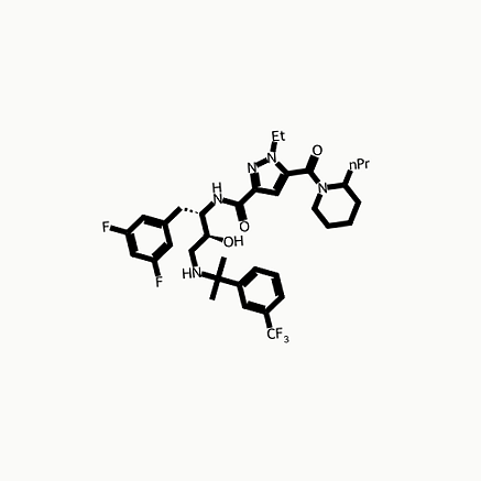 CCCC1CCCCN1C(=O)c1cc(C(=O)N[C@@H](Cc2cc(F)cc(F)c2)[C@@H](O)CNC(C)(C)c2cccc(C(F)(F)F)c2)nn1CC